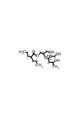 CCCC(CCC)C(=O)OCC(CO)OC(CC(C)O)NCO